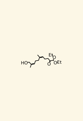 CCOC(OCC)C(=O)CCC=C(C)CCC=C(C)CO